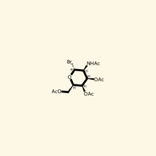 CC(=O)N[C@H]1[C@@H](OC(C)=O)[C@@H](OC(C)=O)[C@@H](COC(C)=O)O[C@@H]1Br